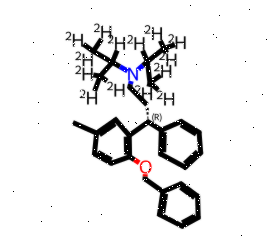 [2H]C([2H])([2H])C([2H])(N(CC[C@H](c1ccccc1)c1cc(C)ccc1OCc1ccccc1)C([2H])(C([2H])([2H])[2H])C([2H])([2H])[2H])C([2H])([2H])[2H]